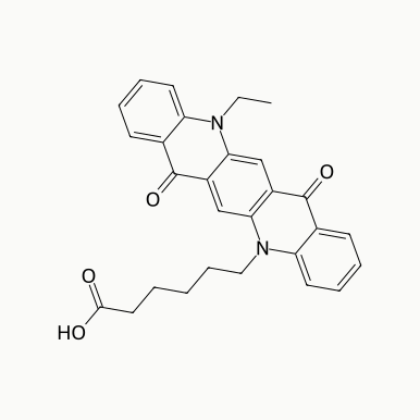 CCn1c2ccccc2c(=O)c2cc3c(cc21)c(=O)c1ccccc1n3CCCCCC(=O)O